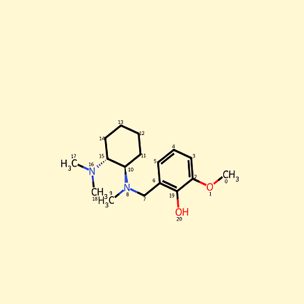 COc1cccc(CN(C)[C@@H]2CCCC[C@H]2N(C)C)c1O